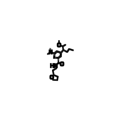 CCCC(c1cc(C(=O)NCCC2CCCO2)cc(N(C)C)c1)C(C)OC